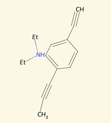 C#Cc1ccc(C#CC)cc1.CCNCC